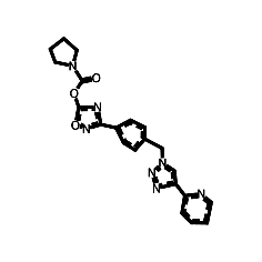 O=C(Oc1nc(-c2ccc(Cn3cc(-c4ccccn4)nn3)cc2)no1)N1CCCC1